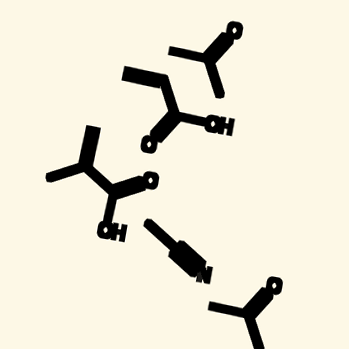 C=C(C)C(=O)O.C=CC(=O)O.CC#N.CC(C)=O.CC(C)=O